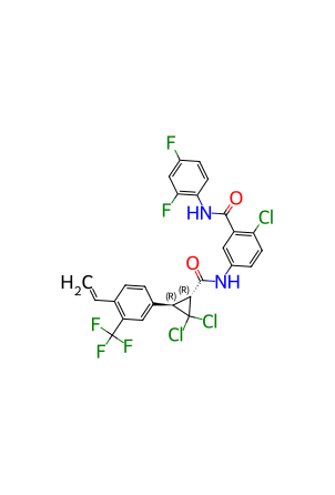 C=Cc1ccc([C@H]2[C@H](C(=O)Nc3ccc(Cl)c(C(=O)Nc4ccc(F)cc4F)c3)C2(Cl)Cl)cc1C(F)(F)F